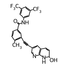 Cc1ccc(C(=O)Nc2cc(C(F)(F)F)cc(C(F)(F)F)c2)cc1C#Cc1cnc2c(c1)C=CC(O)N2